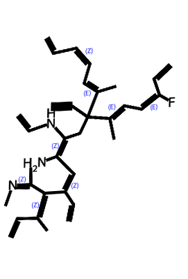 C#CC(C\C(NC=C)=C(N)/C=C(C=C)\C(C(\C)=N/C)=C(/C)C=C)(/C(C)=C/C=C\C=C)/C(C)=C/C=C(/F)C=C